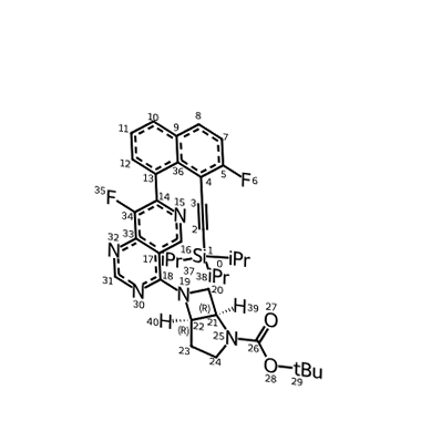 CC(C)[Si](C#Cc1c(F)ccc2cccc(-c3ncc4c(N5C[C@@H]6[C@H]5CCN6C(=O)OC(C)(C)C)ncnc4c3F)c12)(C(C)C)C(C)C